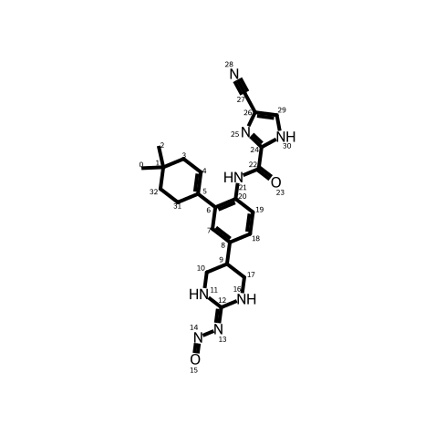 CC1(C)CC=C(c2cc(C3CNC(=NN=O)NC3)ccc2NC(=O)c2nc(C#N)c[nH]2)CC1